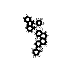 CC1(C)c2ccccc2-c2cccc(N(c3ccccc3)c3ccc4c(ccc5ccc6c(ccc7c8ccccc8oc76)c54)c3)c21